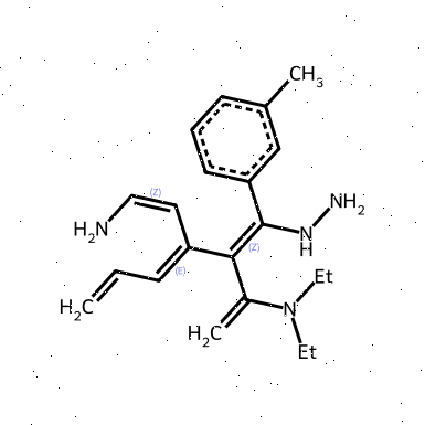 C=C/C=C(\C=C/N)C(/C(=C)N(CC)CC)=C(/NN)c1cccc(C)c1